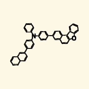 C1=CC2C=CC(c3ccc(N(c4ccccc4)c4ccc(-c5ccc6c(ccc7oc8ccccc8c76)c5)cc4)cc3)=CC2C=C1